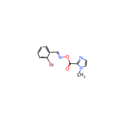 Cn1ccnc1C(=O)ON=Cc1ccccc1Br